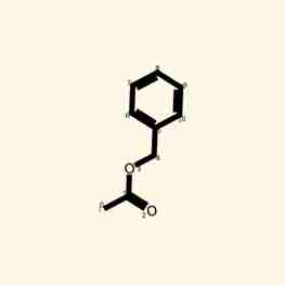 [CH]C(=O)OCc1ccccc1